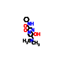 CN(C)Cc1ccn2c(=O)c(C(=O)NC3CCCCC3)cnc2c1O